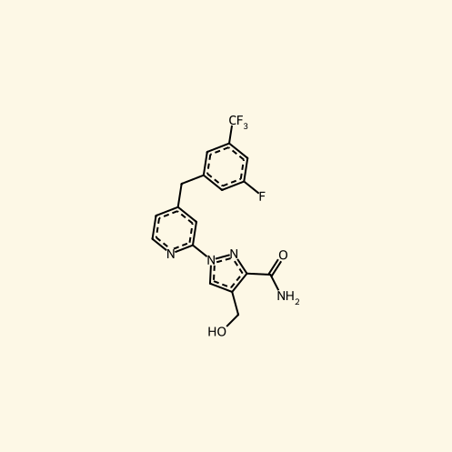 NC(=O)c1nn(-c2cc(Cc3cc(F)cc(C(F)(F)F)c3)ccn2)cc1CO